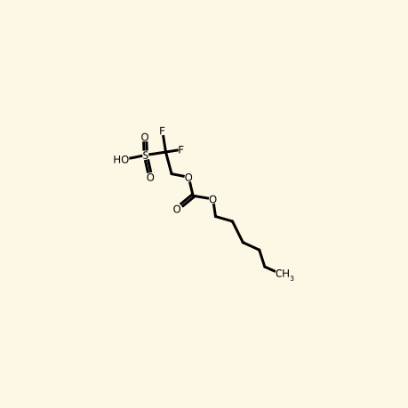 CCCCCCOC(=O)OCC(F)(F)S(=O)(=O)O